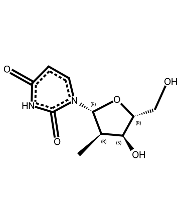 C[C@@H]1[C@H](O)[C@@H](CO)O[C@H]1n1ccc(=O)[nH]c1=O